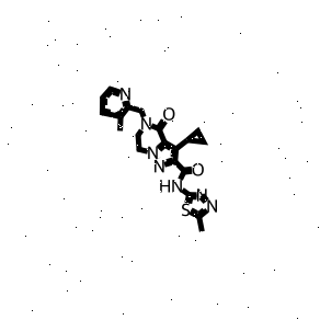 Cc1nnc(NC(=O)c2nn3c(c2C2CC2)C(=O)N(Cc2ncccc2C)CC3)s1